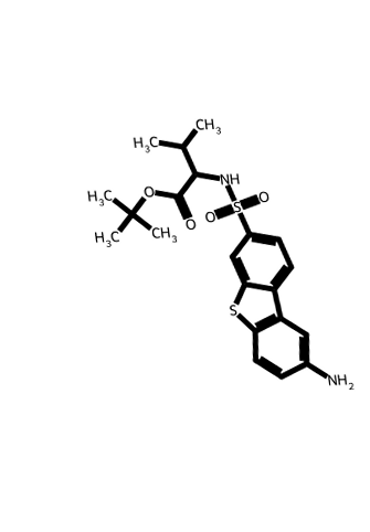 CC(C)C(NS(=O)(=O)c1ccc2c(c1)sc1ccc(N)cc12)C(=O)OC(C)(C)C